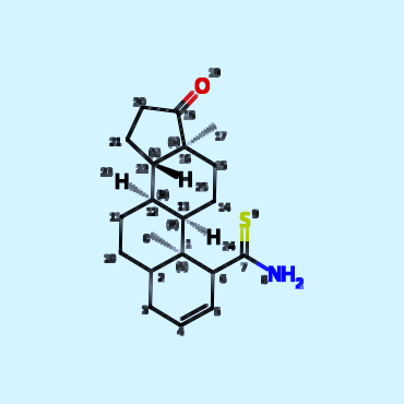 C[C@@]12C(CC=CC1C(N)=S)CC[C@@H]1[C@H]2CC[C@]2(C)C(=O)CC[C@@H]12